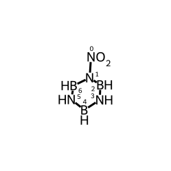 O=[N+]([O-])N1BNBNB1